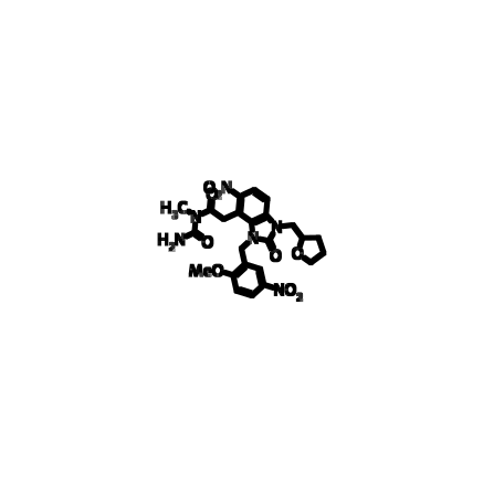 COc1ccc([N+](=O)[O-])cc1Cn1c(=O)n(CC2CCCO2)c2ccc([N+](=O)[O-])c(CC(=O)N(C)C(N)=O)c21